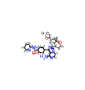 C=CC(=O)C1CC[C@]2(c3nc(-c4ccc(C(O)Nc5ccccn5)cc4)c4c(N)nccn34)CCO[C@H](C1)C2